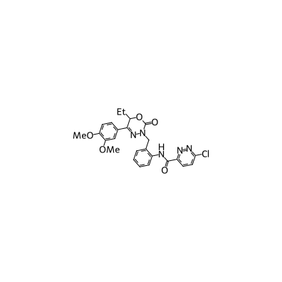 CCC1OC(=O)N(Cc2ccccc2NC(=O)c2ccc(Cl)nn2)N=C1c1ccc(OC)c(OC)c1